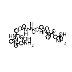 Cc1c(NC(=O)c2cccc(OCC(=O)NCCNC(=O)COc3cccc(C(=O)Nc4nc(C(=O)c5ccc(N)c(C(=O)O)c5)n5ccccc45)c3)c2)c2ccccn2c1C(=O)c1ccc(N)c(C(=O)O)c1